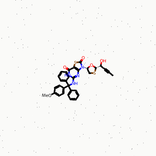 CC#CC(O)[C@H]1O[C@@H](n2c(=O)sc3c(=O)[nH]c(NC(c4ccccc4)(c4ccccc4)c4ccc(OC)cc4)nc32)CS1